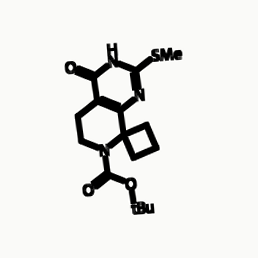 CSc1nc2c(c(=O)[nH]1)CCN(C(=O)OC(C)(C)C)C21CCC1